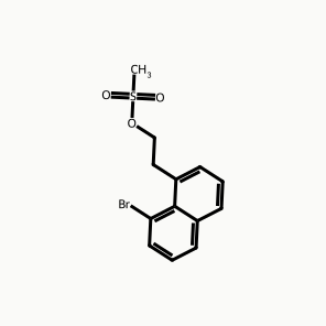 CS(=O)(=O)OCCc1cccc2cccc(Br)c12